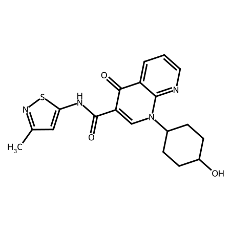 Cc1cc(NC(=O)c2cn(C3CCC(O)CC3)c3ncccc3c2=O)sn1